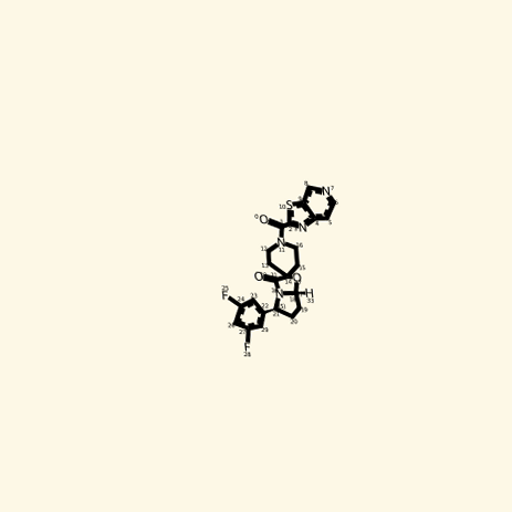 O=C(c1nc2ccncc2s1)N1CCC2(CC1)O[C@@H]1CC[C@@H](c3cc(F)cc(F)c3)N1C2=O